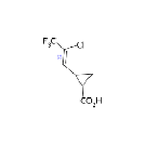 O=C(O)C1CC1/C=C(\Cl)C(F)(F)F